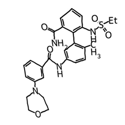 CCS(=O)(=O)Nc1cccc(C(N)=O)c1-c1cc(NC(=O)c2cccc(N3CCOCC3)c2)ccc1C